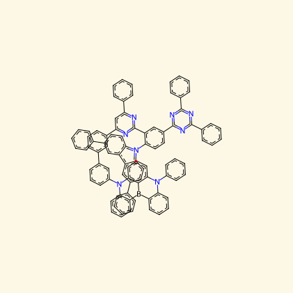 c1ccc(-c2ccc3c(c2)c2cc(-c4ccccc4)ccc2n3-c2ccc(-c3nc(-c4ccccc4)nc(-c4ccccc4)n3)cc2-c2nc(-c3ccccc3)cc(-c3cccc(-c4cccc(N5c6ccccc6B6c7ccccc7N(c7ccccc7)c7cccc5c76)c4)c3)n2)cc1